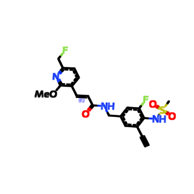 C#Cc1cc(CNC(=O)/C=C/c2ccc(CF)nc2OC)cc(F)c1NS(C)(=O)=O